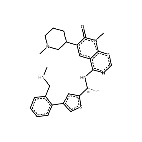 CNCc1ccccc1-c1csc([C@@H](C)Nc2ncnc3c2cc(C2CCCN(C)C2)c(=O)n3C)c1